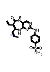 C=CC1=C(/C=C\C)Nc2nc(Nc3ccc(S(N)(=O)=O)cc3)ncc2N(C)C1=O